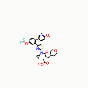 COc1ccc(-c2ccc(OC(F)F)cc2-c2csc(N(C(=O)[C@@H](CC(=O)O)CC3CCOCC3)C3CC3)n2)cn1